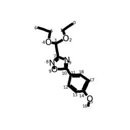 CCOC(OCC)c1noc(-c2ccc(OC)cc2)n1